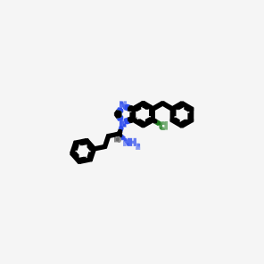 N[C@@H](CCc1ccccc1)n1cnc2cc(Cc3ccccc3)c(Cl)cc21